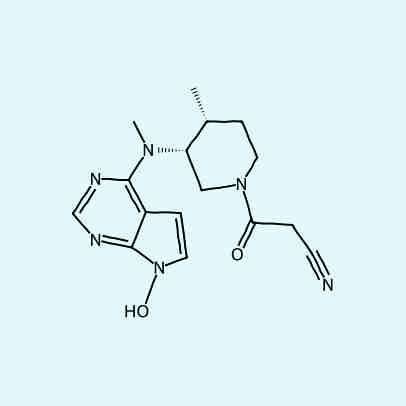 C[C@@H]1CCN(C(=O)CC#N)C[C@@H]1N(C)c1ncnc2c1ccn2O